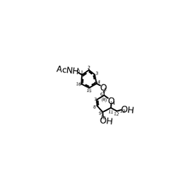 CC(=O)Nc1ccc(O[C@@H]2C=CC(O)C(CO)O2)cc1